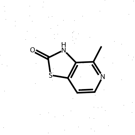 Cc1nccc2sc(=O)[nH]c12